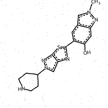 Cn1cc2cc(-c3nc4cn(C5CCNCC5)nc4s3)c(O)cc2n1